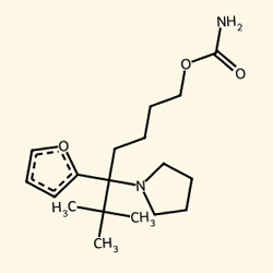 CC(C)(C)C(CCCCOC(N)=O)(c1ccco1)N1CCCC1